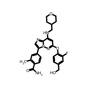 Cc1cc(-c2cnc3c(NCC4CCOCC4)cc(Oc4ccc(CO)cc4F)nn23)ccc1C(N)=O